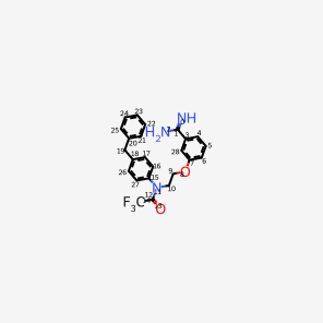 N=C(N)c1cccc(OCCN(C(=O)C(F)(F)F)c2ccc(Cc3ccccc3)cc2)c1